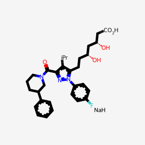 CC(C)c1c(C(=O)N2CCCC(c3ccccc3)C2)nn(-c2ccc(F)cc2)c1CC[C@@H](O)C[C@@H](O)CC(=O)O.[NaH]